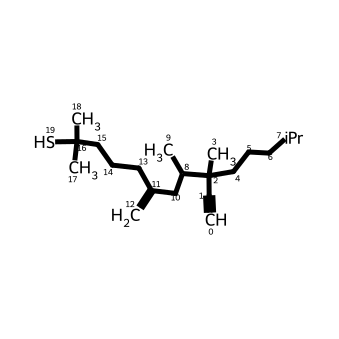 C#CC(C)(CCCC(C)C)C(C)CC(=C)CCCC(C)(C)S